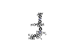 COc1cc(S(=O)(=O)O)c(C)cc1NC(=O)C(/N=N/c1ccc(C(=O)Nc2ccc(/N=N/c3ccc(S(=O)(=O)O)cc3)cc2OCCO)cc1)C(C)=O